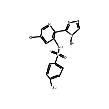 CC(C)n1cnnc1-c1ncc(Cl)cc1NS(=O)(=O)c1ccc(C(C)(C)C)cc1